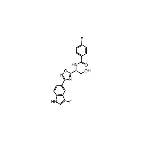 O=C(N[C@@H](CO)c1nc(-c2ccc3[nH]cc(F)c3c2)no1)c1ccc(F)cc1